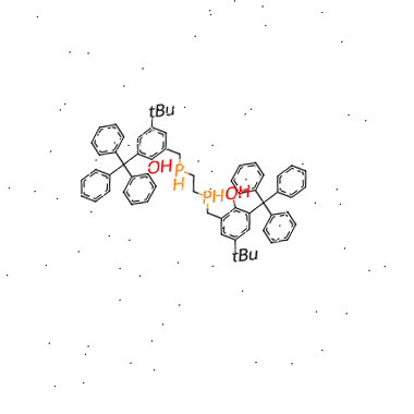 CC(C)(C)c1cc(CPCCPCc2cc(C(C)(C)C)cc(C(c3ccccc3)(c3ccccc3)c3ccccc3)c2O)c(O)c(C(c2ccccc2)(c2ccccc2)c2ccccc2)c1